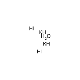 I.I.O.[KH].[KH]